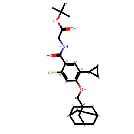 CC(C)(C)OC(=O)CNC(=O)c1cc(C2CC2)c(OCC23CC4CC(CC(C4)C2)C3)cc1F